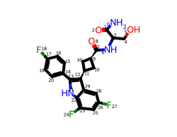 NC(=O)C(CO)NC(=O)[C@H]1C[C@@H](c2c(-c3ccc(F)cc3)[nH]c3c(F)cc(F)cc32)C1